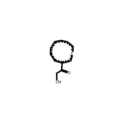 N#CCC(=O)c1ccccccccc1